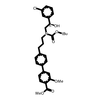 COC(=O)c1ccc(-c2ccc(CCCN(C[C@H](O)c3cccc(Cl)c3)C(=O)OC(C)(C)C)cc2)cc1OC